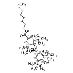 CCCCCCCCOC(=O)c1cc(C(C)(C)C)c(OC(=O)c2cc(C(C)(C)C)c(O)c(C(C)(C)C)c2)c(C(C)(C)C)c1